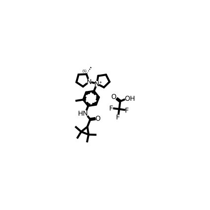 Cc1cc([N+]2(N3CCC[C@@H]3C)CCCC2)ccc1NC(=O)C1C(C)(C)C1(C)C.O=C(O)C(F)(F)F